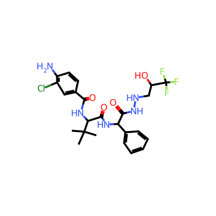 CC(C)(C)C(NC(=O)c1ccc(N)c(Cl)c1)C(=O)NC(C(=O)NNCC(O)C(F)(F)F)c1ccccc1